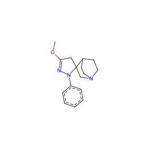 COC1=NN(c2ccccc2)C2(C1)CN1CCC2CC1